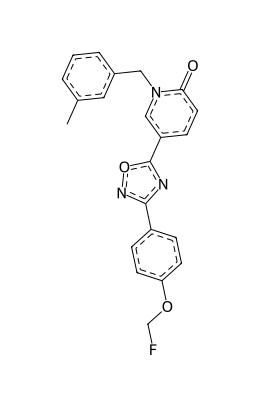 Cc1cccc(Cn2cc(-c3nc(-c4ccc(OCF)cc4)no3)ccc2=O)c1